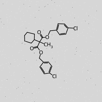 CC(C(=O)OCc1ccc(Cl)cc1)(C(=O)OCc1ccc(Cl)cc1)C1CCCCC1